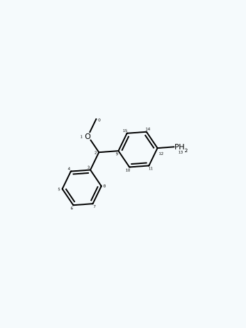 COC(c1ccccc1)c1ccc(P)cc1